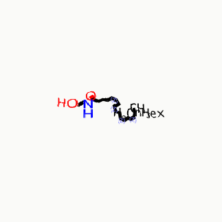 CCCCCCC(C)(C)/C=C\C/C=C\C/C=C\C/C=C\CCCC(=O)NCCO